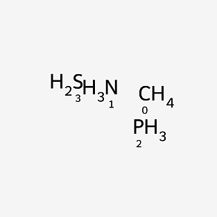 C.N.P.S